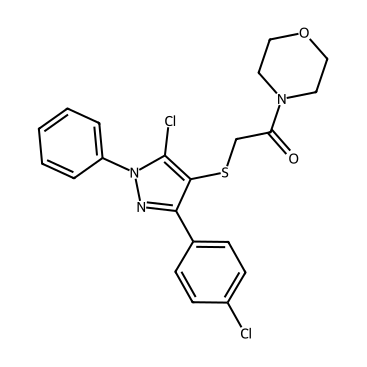 O=C(CSc1c(-c2ccc(Cl)cc2)nn(-c2ccccc2)c1Cl)N1CCOCC1